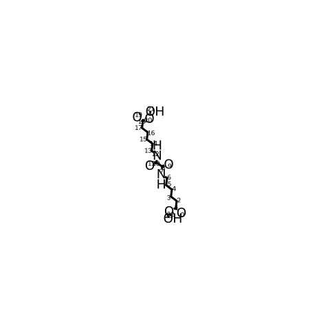 O=C(CCCCCNC(=O)C(=O)NCCCCCC(=O)OO)OO